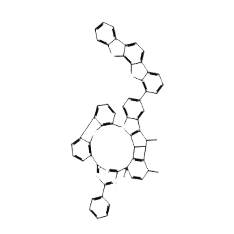 CC1C=CC2(C)C3=C1C(C)c1c(n(c4ccc(-c5cccc6c5oc5c6ccc6c7ccccc7oc65)cc14)-c1cccc4c1oc1c(cccc14)-c1nc(-c4ccccc4)nc2n1)C3C